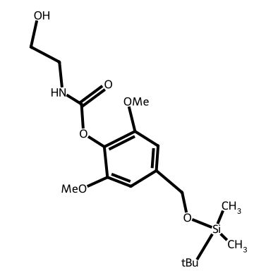 COc1cc(CO[Si](C)(C)C(C)(C)C)cc(OC)c1OC(=O)NCCO